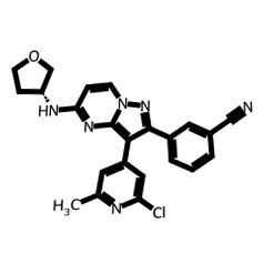 Cc1cc(-c2c(-c3cccc(C#N)c3)nn3ccc(N[C@@H]4CCOC4)nc23)cc(Cl)n1